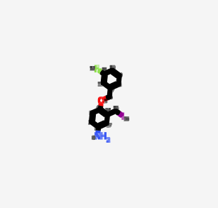 Nc1ccc(OCc2cccc(F)c2)c(CI)c1